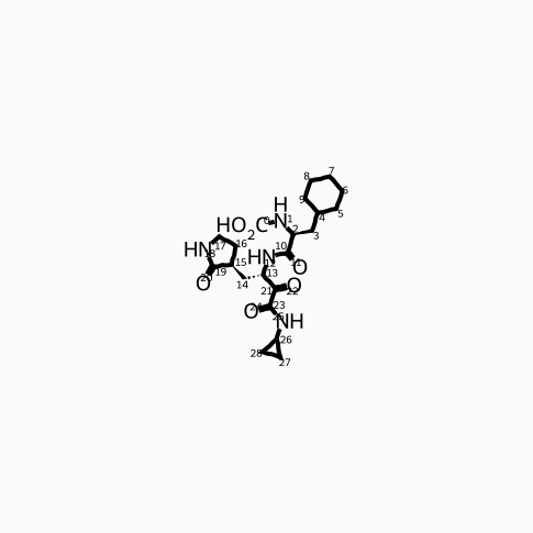 O=C(O)N[C@@H](CC1CCCCC1)C(=O)N[C@@H](C[C@@H]1CCNC1=O)C(=O)C(=O)NC1CC1